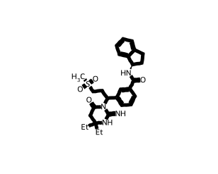 CCC1(CC)CC(=O)N(C(CCS(C)(=O)=O)c2cccc(C(=O)N[C@H]3CCc4ccccc43)c2)C(=N)N1